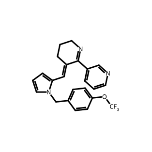 FC(F)(F)Oc1ccc(Cn2cccc2/C=C2\CCCN=C2c2cccnc2)cc1